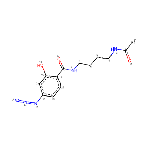 CCC(=O)NCCCCNC(=O)c1ccc(N=[N+]=[N-])cc1O